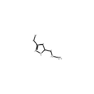 CCC1=NOC(CON)C1